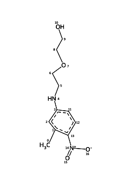 Cc1cc(NCCOCCO)ccc1[N+](=O)[O-]